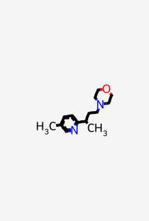 Cc1ccc(C(C)CCN2CCOCC2)nc1